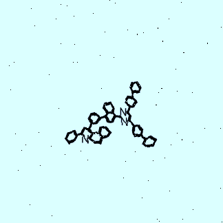 c1ccc(-c2ccc(-c3cc(-c4ccc(-c5ccccc5)cc4)nc(-c4ccc(-c5cccc(-c6cc(-c7ccccc7)nc7ccc8ccccc8c67)c5)c5ccccc45)n3)cc2)cc1